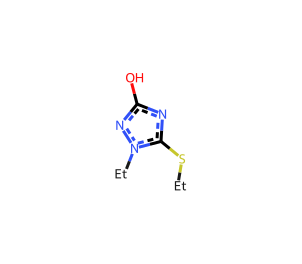 CCSc1nc(O)nn1CC